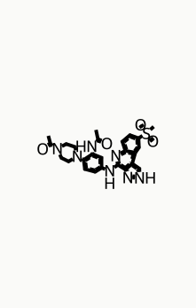 CC(=O)Nc1cc(Nc2nc3ccc(S(C)(=O)=O)cc3c3c[nH]nc23)ccc1N1CCN(C(C)=O)CC1